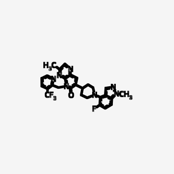 Cc1cnc2cc(C3CCN(c4c(F)ccc5c4cnn5C)CC3)c(=O)n(Cc3ncccc3C(F)(F)F)c2n1